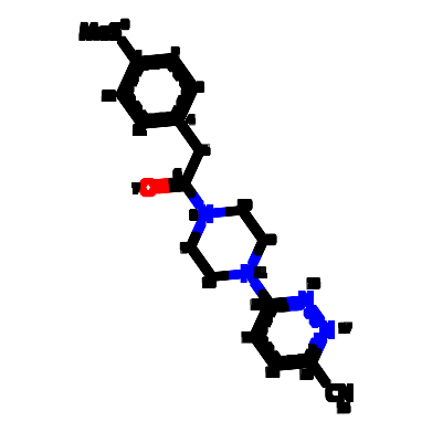 CSc1ccc(CC(=O)N2CCN(c3ccc(C#N)nn3)CC2)cc1